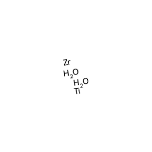 O.O.[Ti].[Zr]